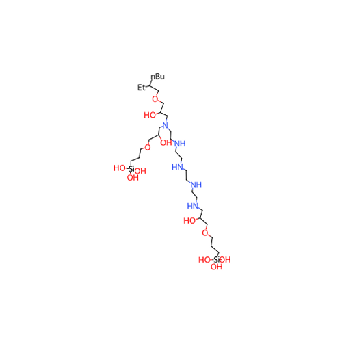 CCCCC(CC)COCC(O)CN(CCNCCNCCNCCNCC(O)COCCC[Si](O)(O)O)CC(O)COCCC[Si](O)(O)O